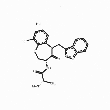 CN[C@@H](C)C(=O)N[C@H]1COc2c(cccc2C(F)(F)F)N(Cc2noc3ccccc23)C1=O.Cl